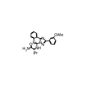 COc1cccc(-c2nc3c4ccccc4nc(N[C@@H](C(N)=O)C(C)C)n3n2)c1